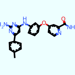 Cc1ccc(-c2cc(Nc3cccc(Oc4ccnc(C(N)=O)c4)c3)nc(N)n2)cc1